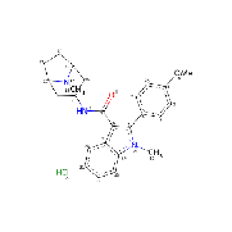 COc1ccc(-c2c(C(=O)NC3CC4CCC(C3)N4C)c3ccccc3n2C)cc1.Cl